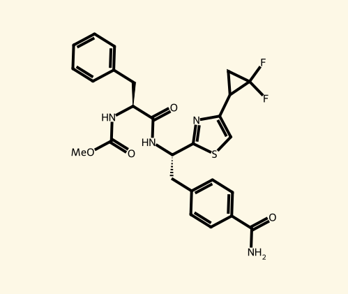 COC(=O)N[C@@H](Cc1ccccc1)C(=O)N[C@@H](Cc1ccc(C(N)=O)cc1)c1nc(C2CC2(F)F)cs1